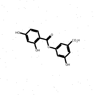 O=C(O)c1cc(O)cc(OC(=O)c2ccc(O)cc2O)c1